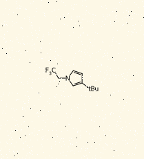 CC(C)(C)c1ccn(CC(F)(F)F)c1